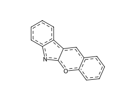 c1ccc2oc3nc4ccccc4c-3cc2c1